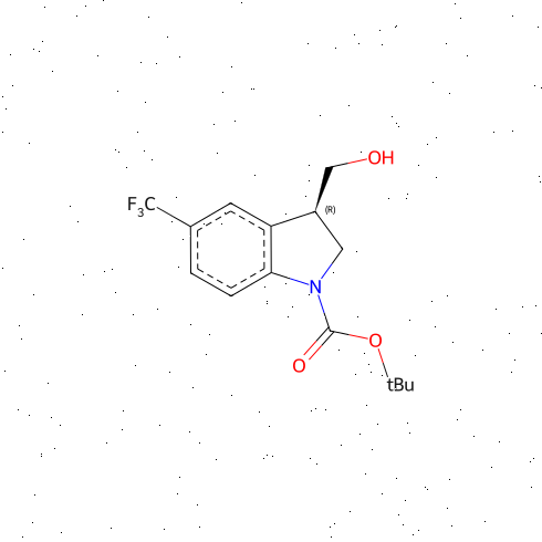 CC(C)(C)OC(=O)N1C[C@H](CO)c2cc(C(F)(F)F)ccc21